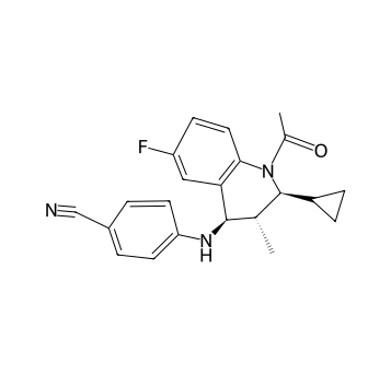 CC(=O)N1c2ccc(F)cc2[C@H](Nc2ccc(C#N)cc2)[C@@H](C)[C@@H]1C1CC1